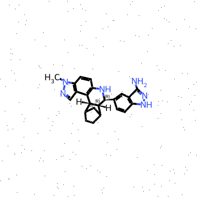 Cn1ncc2c3c(ccc21)N[C@@H](c1ccc2[nH]nc(N)c2c1)[C@@H]1C2CCC(C2)[C@H]31